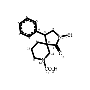 CCN1CC(c2ccccc2)C2(CCCN(C(=O)O)C2)C1=O